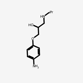 CC(C)NCC(O)COc1ccc(N)cc1